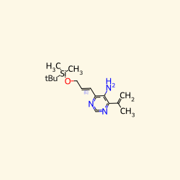 C=C(C)c1ncnc(/C=C/CO[Si](C)(C)C(C)(C)C)c1N